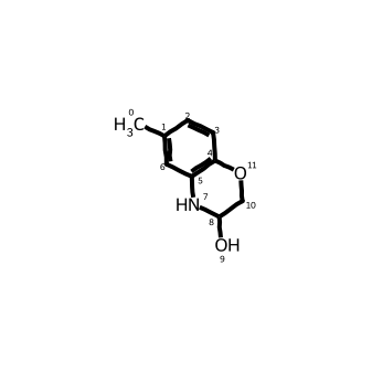 Cc1ccc2c(c1)NC(O)CO2